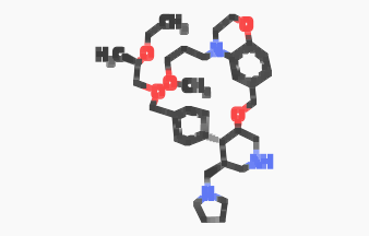 CCO[C@H](C)COCc1ccc([C@H]2[C@H](CN3CCCC3)CNC[C@@H]2OCc2ccc3c(c2)N(CCCOC)CCO3)cc1